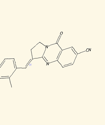 Cc1ccccc1/C=C1\CCn2c1nc1ccc(C#N)cc1c2=O